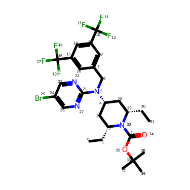 CC[C@@H]1C[C@H](N(Cc2cc(C(F)(F)F)cc(C(F)(F)F)c2)c2ncc(Br)cn2)C[C@H](CC)N1C(=O)OC(C)(C)C